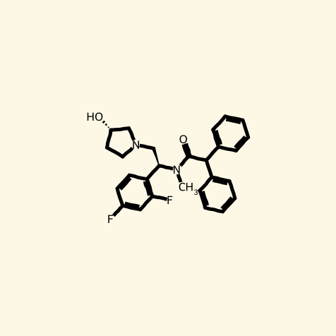 CN(C(=O)C(c1ccccc1)c1ccccc1)[C@H](CN1CC[C@H](O)C1)c1ccc(F)cc1F